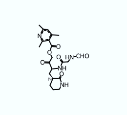 Cc1cc(C)c(C(=O)OCC(=O)C(C[C@@H]2CCCNC2=O)NC(=O)CNC=O)c(C)n1